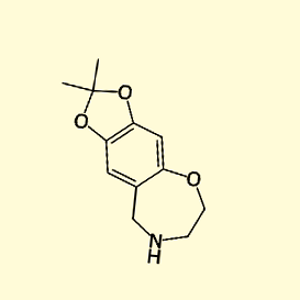 CC1(C)Oc2cc3c(cc2O1)OCCNC3